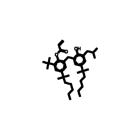 C=CC(=O)Oc1c(Cc2cc(C(C)(C)CCCCC)cc(CC(C)C)c2O)cc(C(C)(C)CCCCC)cc1C(C)(C)C